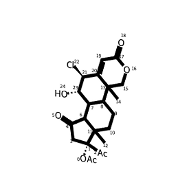 CC(=O)O[C@]1(C(C)=O)CC(=O)C2C3C(CCC21C)C1(C)COC(=O)C=C1[C@H](Cl)[C@H]3O